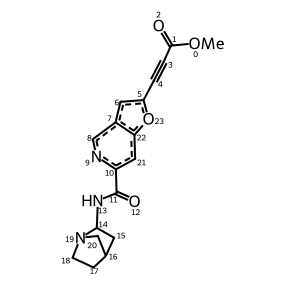 COC(=O)C#Cc1cc2cnc(C(=O)NC3CC4CCN3C4)cc2o1